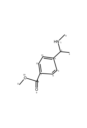 CNC(C)c1ccc(C(=O)OC)cc1